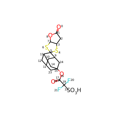 O=C1CC2SC3(SC2O1)C1CC2CC3CC(OC(=O)C(F)(F)S(=O)(=O)O)(C2)C1